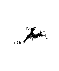 CCCCCCCC/C=C/CCCCCCCCCC[C@H](COP(=O)(O)OC[C@]1(C)CC[C@H](c2ccc(/C(N)=N\C=N)[nH]2)O1)OCc1cc(F)cc(C#N)c1